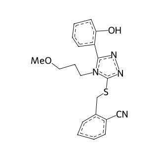 COCCCn1c(SCc2ccccc2C#N)nnc1-c1ccccc1O